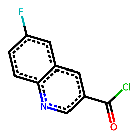 O=C(Cl)c1cnc2ccc(F)cc2c1